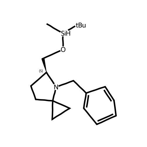 C[SiH](OC[C@@H]1CCC2(CC2)N1Cc1ccccc1)C(C)(C)C